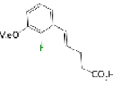 COc1cccc(C=CCCC(=O)O)c1F